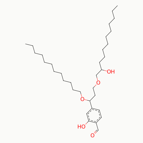 CCCCCCCCCCCCOC(CCOCC(O)CCCCCCCCCC)c1ccc(C=O)c(O)c1